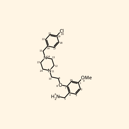 COc1ccc(CN)c(OCCN2CCN(Cc3ccc(Cl)cc3)CC2)c1